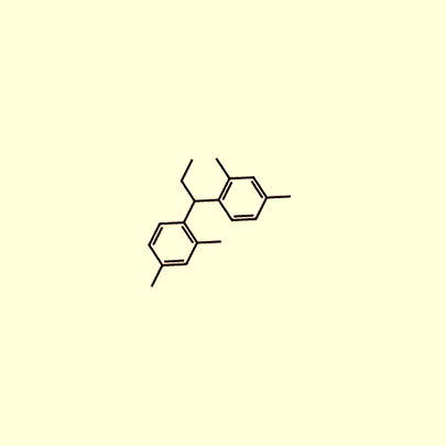 CCC(c1ccc(C)cc1C)c1ccc(C)cc1C